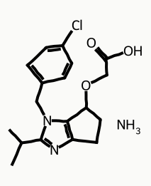 CC(C)c1nc2c(n1Cc1ccc(Cl)cc1)C(OCC(=O)O)CC2.N